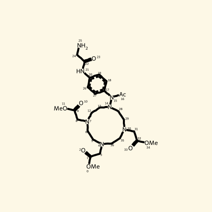 COC(=O)CN1CCN(CC(=O)OC)CCN(N(C(C)=O)c2ccc(NC(=O)CN)cc2)CCN(CC(=O)OC)CC1